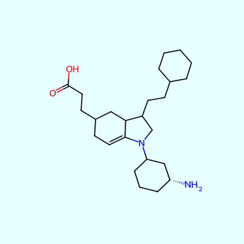 N[C@@H]1CCCC(N2CC(CCC3CCCCC3)C3CC(CCC(=O)O)CC=C32)C1